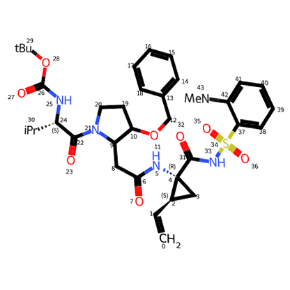 C=C[C@@H]1C[C@]1(NC(=O)CC1C(OCc2ccccc2)CCN1C(=O)[C@@H](NC(=O)OC(C)(C)C)C(C)C)C(=O)NS(=O)(=O)c1ccccc1NC